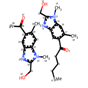 CSCCCC(=O)c1cc2nc(CO)n(C)c2cc1C.Cc1cc2c(cc1C(=O)C(C)C)nc(CO)n2C